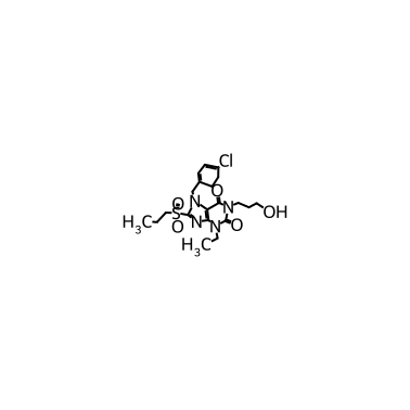 CCCS(=O)(=O)c1nc2c(c(=O)n(CCCO)c(=O)n2CC)n1CC1=CC=C(Cl)CC1